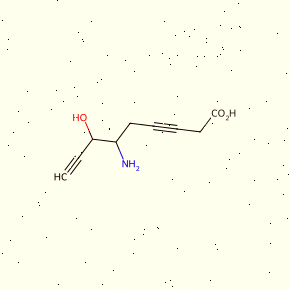 C#CC(O)C(N)CC#CCC(=O)O